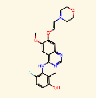 COc1cc2c(Nc3c(F)ccc(O)c3C)ncnc2cc1OC=CN1CCOCC1